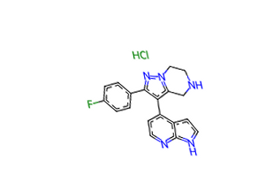 Cl.Fc1ccc(-c2nn3c(c2-c2ccnc4[nH]ccc24)CNCC3)cc1